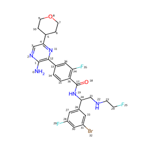 Nc1ncc(C2CCOCC2)nc1-c1ccc(C(=O)NC(CNCCF)c2cc(F)cc(Br)c2)c(F)c1